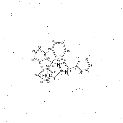 OCc1nc(-c2ccccc2)cn1C(c1ccccc1)(c1ccccc1)c1ccccc1